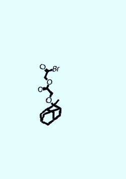 CC1(OCC(=O)OCC(=O)Br)C2CC3CC(C2)CC1C3